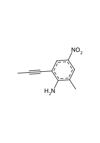 CC#Cc1cc([N+](=O)[O-])cc(C)c1N